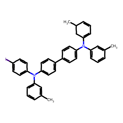 Cc1cccc(N(C2=CC=CC(C)C2)c2ccc(-c3ccc(N(c4ccc(I)cc4)c4cccc(C)c4)cc3)cc2)c1